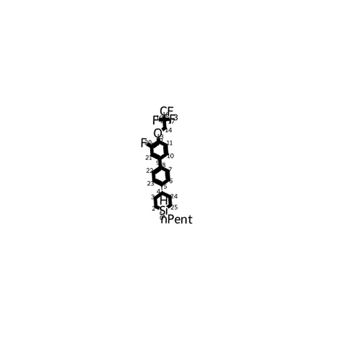 CCCCC[Si@H]1CC[C@H](c2ccc(-c3ccc(OCC(F)(F)C(F)(F)F)c(F)c3)cc2)CC1